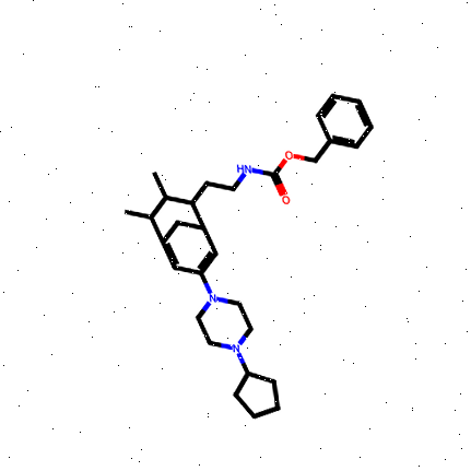 CC1C2=CC(N3CCN(C4CCCC4)CC3)=CC(C2)C(CCNC(=O)OCc2ccccc2)C1C